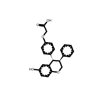 O=C(O)COc1ccc([C@H]2c3cc(O)ccc3OC[C@@H]2c2ccccc2)cc1